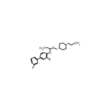 CCC[C@H]1CC[C@H](COC(CC)Oc2ccc(-c3cccc(F)c3)cc2F)CC1